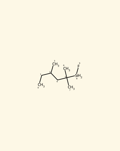 CCC(C)CC(C)(C)[SiH2]F